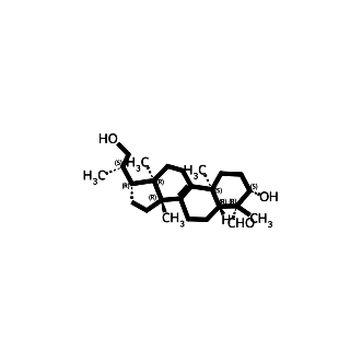 C[C@H](CO)[C@H]1CC[C@@]2(C)C3=C(CC[C@]12C)[C@@]1(C)CC[C@H](O)[C@](C)(C=O)[C@@H]1CC3